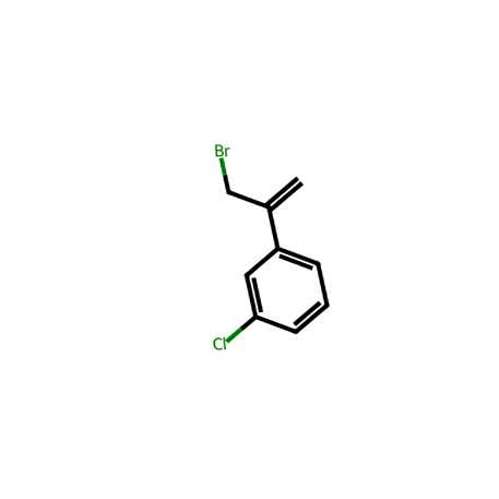 C=C(CBr)c1cccc(Cl)c1